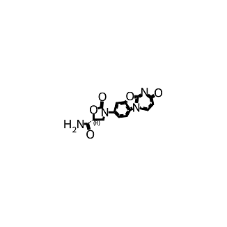 NC(=O)[C@H]1CN(c2ccc3c(c2)oc2nc(=O)ccn23)C(=O)O1